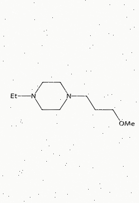 CCN1CCN(CCCOC)CC1